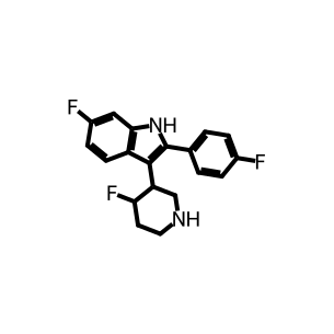 Fc1ccc(-c2[nH]c3cc(F)ccc3c2C2CNCCC2F)cc1